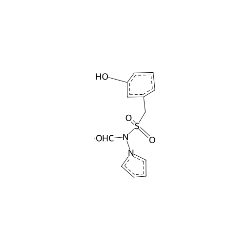 O=[C]N(n1cccc1)S(=O)(=O)Cc1cccc(O)c1